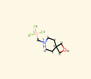 F[B-](F)(F)C[NH+]1CCC2(CC1)COC2